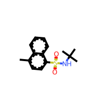 Cc1ccc(S(=O)(=O)NC(C)(C)C)c2ccccc12